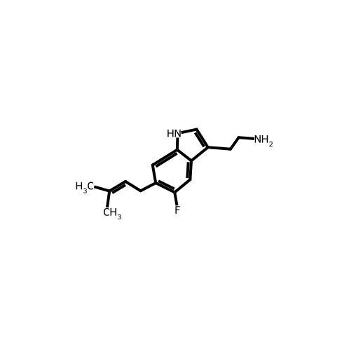 CC(C)=CCc1cc2[nH]cc(CCN)c2cc1F